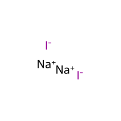 [I-].[I-].[Na+].[Na+]